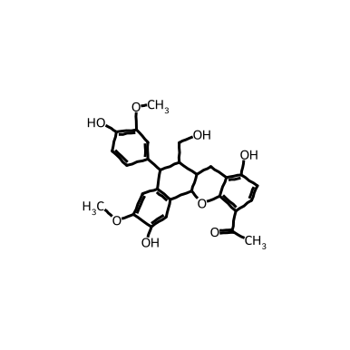 COc1cc(C2c3cc(OC)c(O)cc3C3Oc4c(C(C)=O)ccc(O)c4CC3C2CO)ccc1O